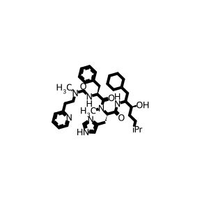 CC(C)CC[C@H](O)C(CC1CCCCC1)NC(=O)[C@H](Cc1c[nH]cn1)N(C)C(=O)[C@H](Cc1ccccc1)NC(=O)N(C)CCc1ccccn1